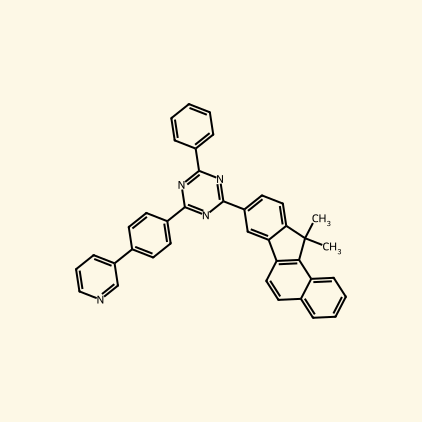 CC1(C)c2ccc(-c3nc(-c4ccccc4)nc(-c4ccc(-c5cccnc5)cc4)n3)cc2-c2ccc3ccccc3c21